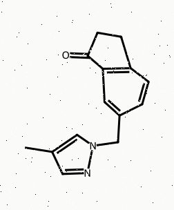 Cc1cnn(Cc2ccc3c(c2)C(=O)CC3)c1